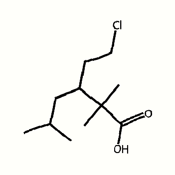 CC(C)CC(CCCl)C(C)(C)C(=O)O